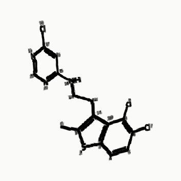 Cc1sc2ccc(Cl)c(Cl)c2c1CCNc1cc(Cl)ncn1